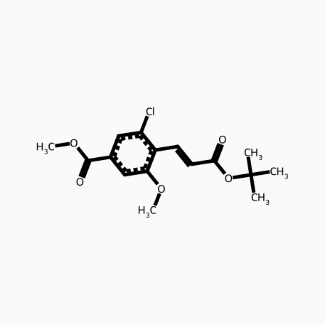 COC(=O)c1cc(Cl)c(C=CC(=O)OC(C)(C)C)c(OC)c1